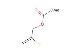 C=C(F)COC(=O)OC